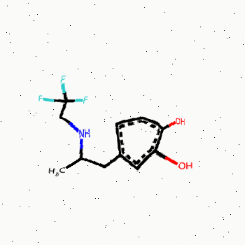 CC(Cc1ccc(O)c(O)c1)NCC(F)(F)F